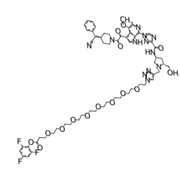 COc1cnc(-n2cnc(C(=O)N[C@H]3C[C@@H](CO)N(Cc4cn(CCOCCOCCOCCOCCOCCOCCOCCOCCC(=O)Oc5c(F)cc(F)cc5F)nn4)C3)n2)c2[nH]cc(C(=O)C(=O)N3CCC(=C(C#N)c4ccccc4)CC3)c12